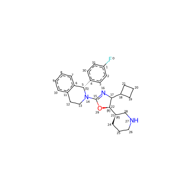 Fc1ccc([C@H]2c3ccccc3CCN2C2=NC(C3CCC3)[C@@H]([C@@H]3CCCNC3)O2)cc1